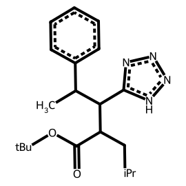 CC(C)CC(C(=O)OC(C)(C)C)C(c1nnn[nH]1)C(C)c1ccccc1